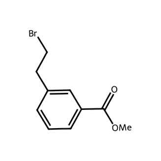 COC(=O)c1cccc(CCBr)c1